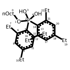 CCCCCCCCOP(O)(O)(c1c(CC)cc(CC)cc1CC)c1c(CC)cc(CC)cc1CC